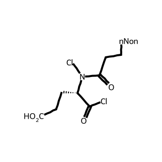 CCCCCCCCCCCC(=O)N(Cl)[C@@H](CCC(=O)O)C(=O)Cl